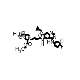 CCOC(=O)C1CN(S(C)(=O)=O)CCN1C/C=C/C(=O)Nc1cc2c(Nc3ccc(F)c(Cl)c3)ncnc2cc1OCC1CC1